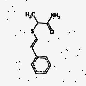 CC(S/C=C/c1ccccc1)C(N)=O